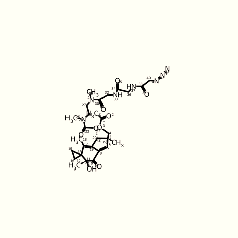 CC(=O)OC[C@]1(C)C=C2C(=O)[C@](C)(O)C3(CC3)C(C)=C2[C@@H]1OC(=O)N(C)CCN(C)C(=O)CNC(=O)CNC(=O)CN=[N+]=[N-]